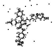 CC(C)n1c(CC[C@@H](O)C[C@@H](O)CC(=O)O)c(-c2ccc(F)cc2)c(-c2ccc(F)cc2)c1C(=O)Nc1ccc(S(N)(=O)=O)cc1